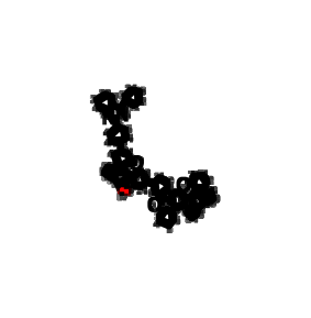 O=P(c1ccccc1)(c1cccc(-c2ccc3c(c2)Oc2cc(-c4ccc(-c5nc(-c6ccccc6)c6ccccc6n5)cc4)ccc2C32c3ccccc3-c3ccccc32)c1)c1ccc2c(c1)Oc1ccccc1C21c2ccccc2-c2ccccc21